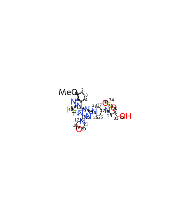 COc1cccc2c1nc(C(F)F)n2-c1nc(N2CCOCC2)nc(N2CCC(N(CCCO)S(C)(=O)=O)CC2)n1